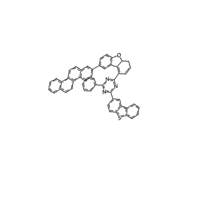 C1=CC(c2nc(-c3ccccc3)nc(-c3ccc4sc5ccccc5c4c3)n2)=C2c3cc(-c4ccc5c(ccc6c7ccccc7ccc56)c4)ccc3OC2C1